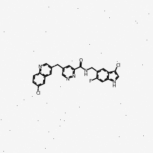 O=C(NCc1cc2c(Cl)c[nH]c2cc1F)c1cc(Cc2cnc3ccc(Cl)cc3c2)cnn1